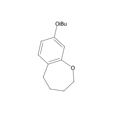 CC(C)COc1ccc2c(c1)OCCCC2